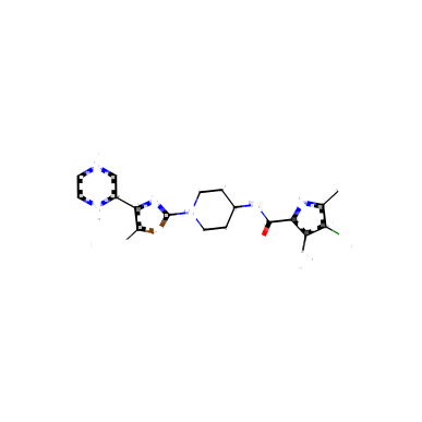 CCOC(=O)c1sc(N2CCC(NC(=O)c3[nH]c(C)c(Cl)c3C#N)CC2)nc1-c1cnccn1